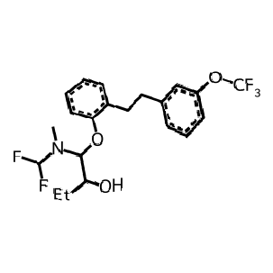 CCC(O)C(Oc1ccccc1CCc1cccc(OC(F)(F)F)c1)N(C)C(F)F